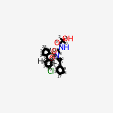 CC(C)(O)C(=O)NCCN(C1(C(=O)O)CC1c1ccccc1)S(=O)(=O)c1ccccc1-c1ccc(Cl)cc1